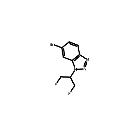 FCC(CF)n1nnc2ccc(Br)cc21